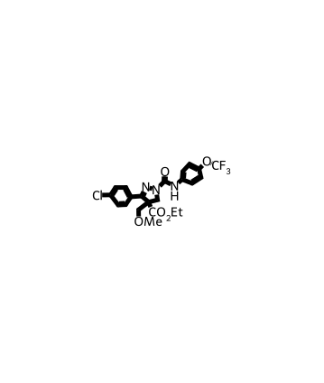 CCOC(=O)C1(COC)CN(C(=O)Nc2ccc(OC(F)(F)F)cc2)N=C1c1ccc(Cl)cc1